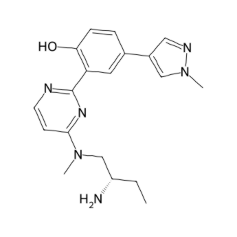 CC[C@H](N)CN(C)c1ccnc(-c2cc(-c3cnn(C)c3)ccc2O)n1